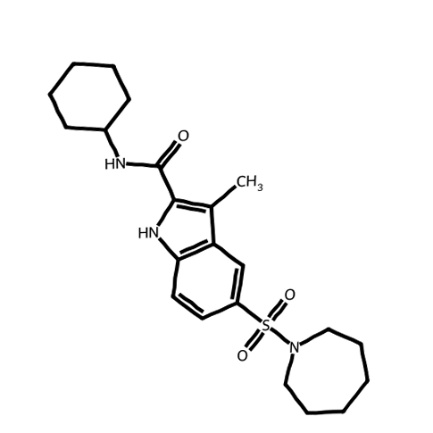 Cc1c(C(=O)NC2CCCCC2)[nH]c2ccc(S(=O)(=O)N3CCCCCC3)cc12